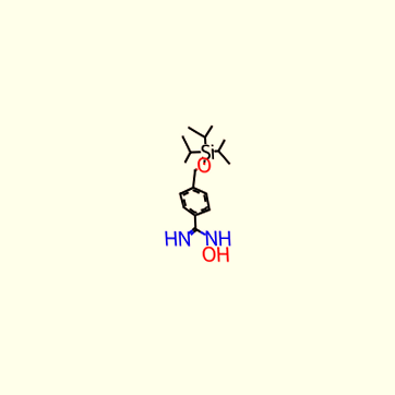 CC(C)[Si](OCc1ccc(C(=N)NO)cc1)(C(C)C)C(C)C